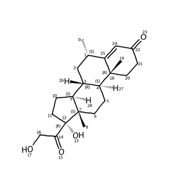 C[C@H]1C[C@@H]2[C@H](CC[C@@]3(C)[C@H]2CC[C@]3(O)C(=O)CO)[C@@]2(C)CCC(=O)C=C12